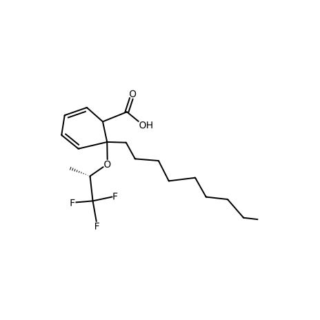 CCCCCCCCCC1(O[C@@H](C)C(F)(F)F)C=CC=CC1C(=O)O